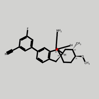 [2H]C1([2H])OC(N)=N[C@]12c1cc(-c3cc(F)cc(C#N)c3)ccc1C[C@@]21CC[C@H](OC)[C@@H](C)C1